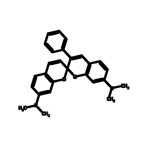 CN(C)c1ccc2c(c1)OC1(C=C2)Oc2cc(N(C)C)ccc2C=C1c1ccccc1